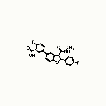 CNC(=O)C1c2cc(-c3ccc(F)c(C(=O)O)c3)ccc2OC1c1ccc(F)cc1